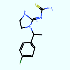 CC(c1ccc(Cl)cc1)N1CCN/C1=N\C(N)=S